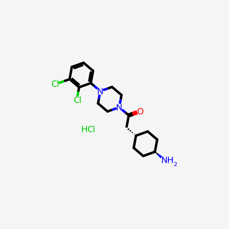 Cl.N[C@H]1CC[C@H](CC(=O)N2CCN(c3cccc(Cl)c3Cl)CC2)CC1